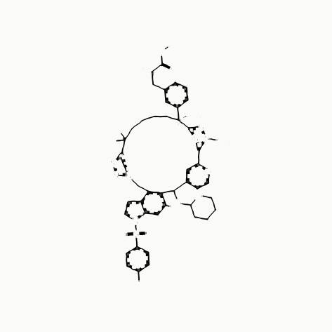 COC(=O)[C@@H](C)Cc1cccc([C@@]2(C)CCCCC(C)(C)c3cn(nn3)Cc3c(c(F)cc4c3ccn4S(=O)(=O)c3ccc(C)cc3)C(OC3CCCCO3)c3ccnc(c3)-c3nc2nn3C)c1